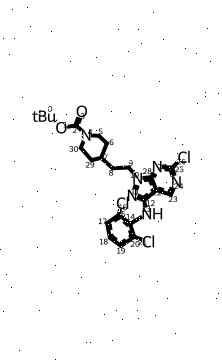 CC(C)(C)OC(=O)N1CCC(CCn2nc(Nc3c(Cl)cccc3Cl)c3cnc(Cl)nc32)CC1